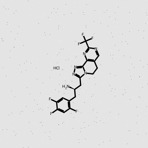 Cl.N[C@H](Cc1cc(F)c(F)cc1F)Cc1nnc2n1CCc1cnc(C(F)(F)F)nc1-2